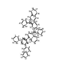 c1ccc(-c2nc(-c3ccc4ccccc4c3)nc(-c3ccc(-n4c5ccccc5c5cc6c7cc8ccccc8cc7n(-c7ccccc7)c6cc54)c4ccccc34)n2)cc1